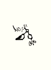 CCC(C(=O)O)=C1CC(c2ccc(S(C)(=O)=O)cc2)=C1c1ccccc1